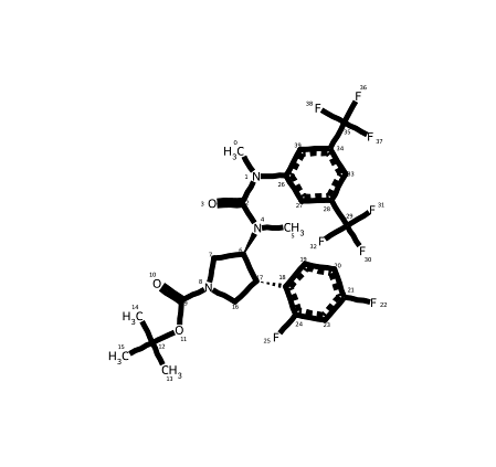 CN(C(=O)N(C)[C@@H]1CN(C(=O)OC(C)(C)C)C[C@H]1c1ccc(F)cc1F)c1cc(C(F)(F)F)cc(C(F)(F)F)c1